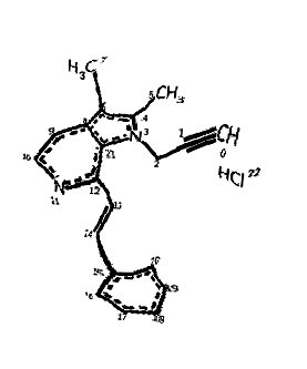 C#CCn1c(C)c(C)c2ccnc(C=Cc3ccccc3)c21.Cl